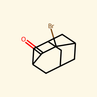 O=C1C2CC3CC(C2)CC(C3)C1Br